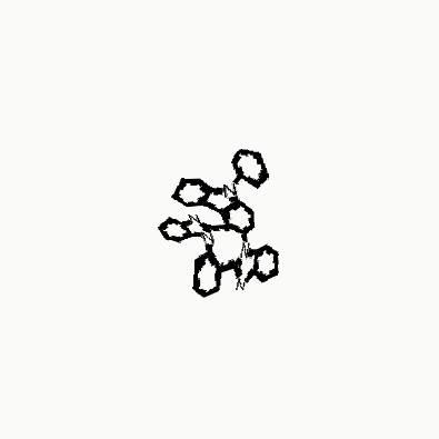 c1ccc(-n2c3ccccc3c3c4c(ccc32)n2c3ccccc3nc2c2ccccc2n2c3ccccc3nc42)cc1